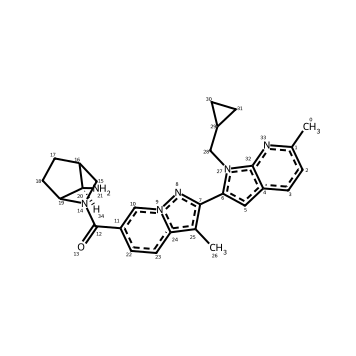 Cc1ccc2cc(-c3nn4cc(C(=O)N5CC6CCC5[C@@H]6N)ccc4c3C)n(CC3CC3)c2n1